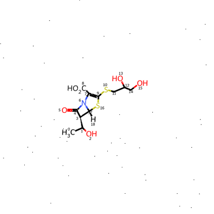 CC(O)[C@H]1C(=O)N2C(C(=O)O)=C(SCC(O)CO)S[C@H]12